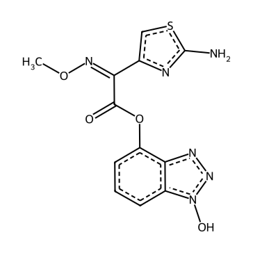 CO/N=C(\C(=O)Oc1cccc2c1nnn2O)c1csc(N)n1